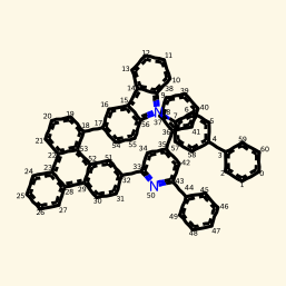 c1ccc(-c2ccc(-n3c4ccccc4c4cc(-c5cccc6c7ccccc7c7ccc(-c8cc(-c9ccccc9)cc(-c9ccccc9)n8)cc7c56)ccc43)cc2)cc1